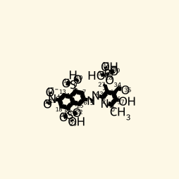 Cc1nc(/N=N/c2cc([SH](=O)=O)c3cc([N+](=O)[O-])cc(S(=O)(=O)O)c3c2)c(COP(=O)(O)O)c(C=O)c1O